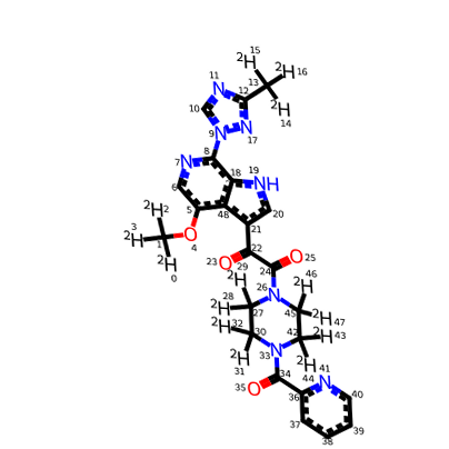 [2H]C([2H])([2H])Oc1cnc(-n2cnc(C([2H])([2H])[2H])n2)c2[nH]cc(C(=O)C(=O)N3C([2H])([2H])C([2H])([2H])N(C(=O)c4ccccn4)C([2H])([2H])C3([2H])[2H])c12